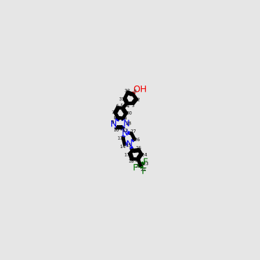 Oc1ccc(-c2ccc3ncc(N4CCN(c5ccc(C(F)(F)F)cc5)CC4)nc3c2)cc1